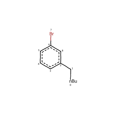 CC[CH]CCc1cccc(Br)c1